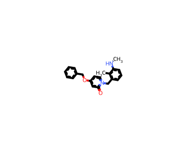 CNc1cccc(Cn2ccc(OCc3ccccc3)cc2=O)c1C